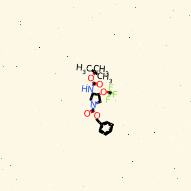 CC(C)(C)OC(=O)NC1CN(C(=O)OCc2ccccc2)CC1OC(F)(F)F